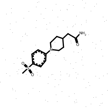 CS(=O)(=O)c1ccc(N2CCC(CC(N)=O)CC2)cc1